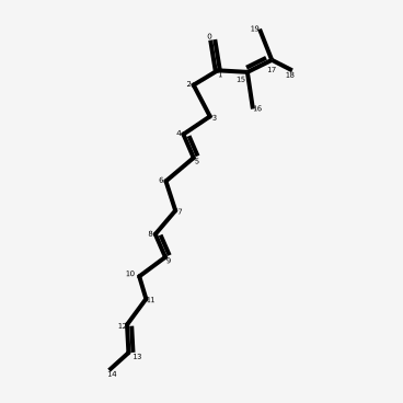 C=C(CCC=CCCC=CCCC=CC)C(C)=C(C)C